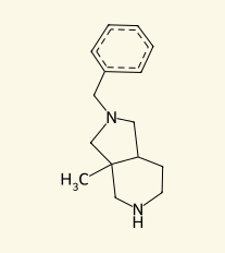 CC12CNCCC1CN(Cc1ccccc1)C2